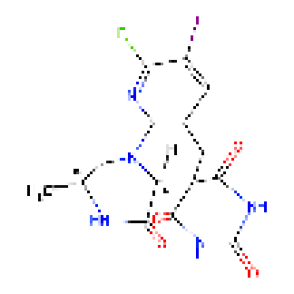 C[C@@H]1CN2c3nc(F)c(I)cc3CC3(C(=O)NC(=O)NC3=O)[C@H]2C(=O)N1